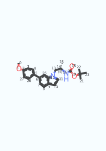 COc1ccc(-c2ccc3ccn(C[C@H](C)NC(=O)OC(C)(C)C)c3c2)cc1